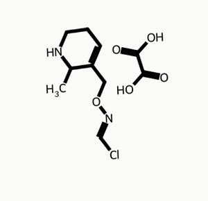 CC1NCCC=C1CON=CCl.O=C(O)C(=O)O